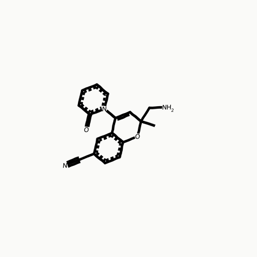 CC1(CN)C=C(n2ccccc2=O)c2cc(C#N)ccc2O1